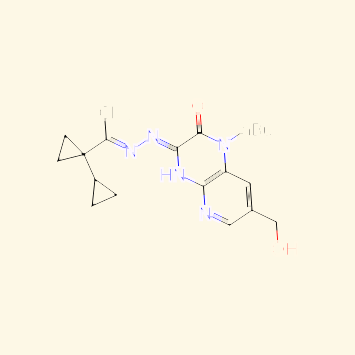 CCCCn1c(=O)/c(=N/N=C(\C)C2(C3CC3)CC2)[nH]c2ncc(CO)cc21